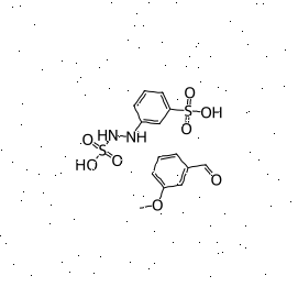 COc1cccc(C=O)c1.O=S(=O)(O)NNc1cccc(S(=O)(=O)O)c1